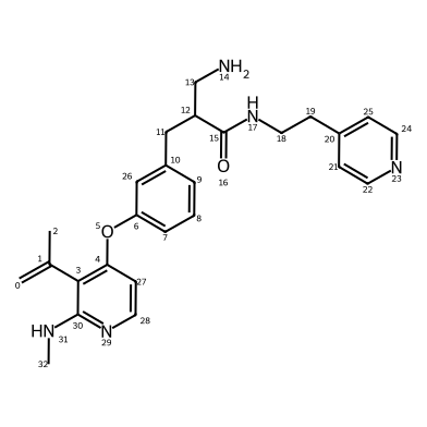 C=C(C)c1c(Oc2cccc(CC(CN)C(=O)NCCc3ccncc3)c2)ccnc1NC